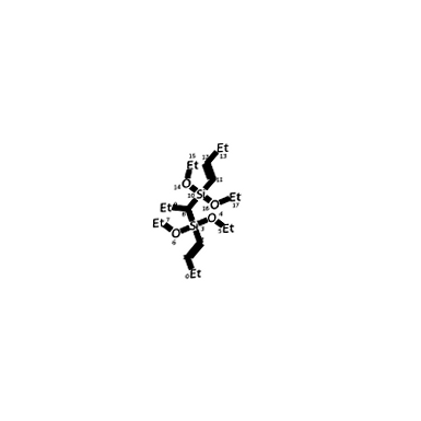 CCC=C[Si](OCC)(OCC)C(CC)[Si](C=CCC)(OCC)OCC